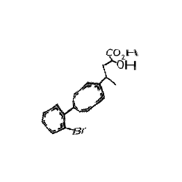 CC(CC(O)C(=O)O)c1ccc(-c2ccccc2Br)cc1